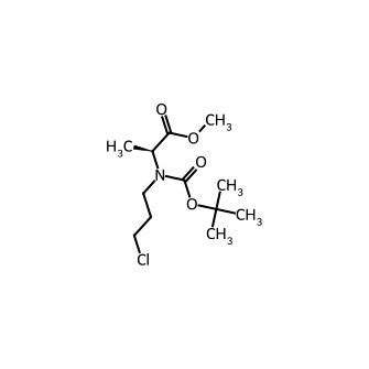 COC(=O)[C@H](C)N(CCCCl)C(=O)OC(C)(C)C